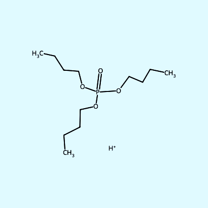 CCCCOP(=O)(OCCCC)OCCCC.[H+]